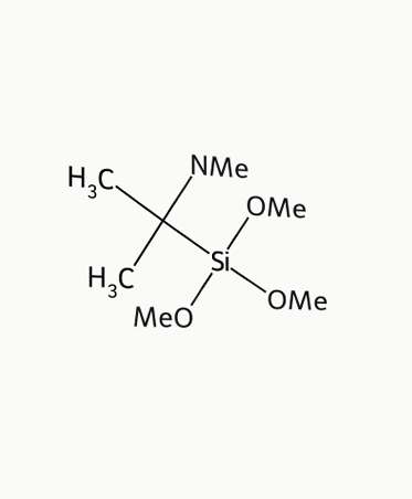 CNC(C)(C)[Si](OC)(OC)OC